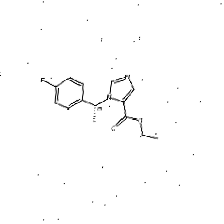 CCOC(=O)c1cncn1[C@H](C)c1ccc(F)cc1